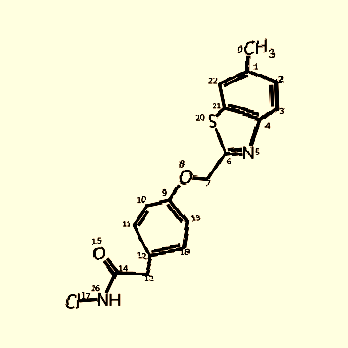 Cc1ccc2nc(COc3ccc(CC(=O)NCl)cc3)sc2c1